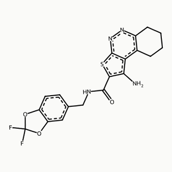 Nc1c(C(=O)NCc2ccc3c(c2)OC(F)(F)O3)sc2nnc3c(c12)CCCC3